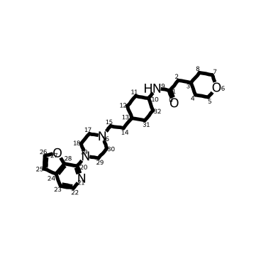 O=C(CC1CCOCC1)NC1CCC(CCN2CCN(c3nccc4ccoc34)CC2)CC1